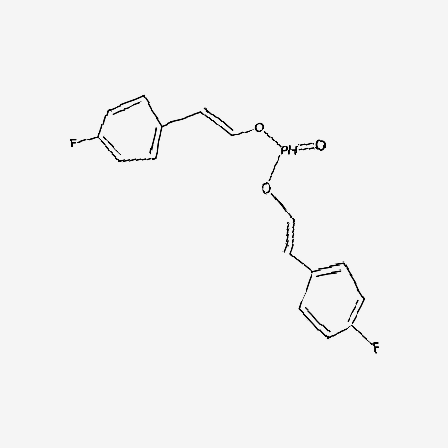 O=[PH](OC=Cc1ccc(F)cc1)OC=Cc1ccc(F)cc1